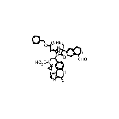 CC(C)(C)C[C@]1(c2ccc3c(C=O)nccc3c2)NC(=NC(=O)OCc2ccccc2)N(C(CN(C(=O)O)C2(C(F)(F)F)CC2)c2ccc(Cl)c(-n3ncnc3C(F)F)c2)C1=O